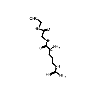 N=C(N)NCCC[C@H](N)C(=O)NCC(=O)NC[C]=O